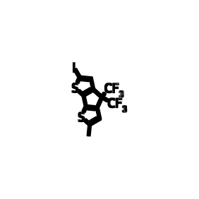 Cc1cc2c(s1)-c1sc(I)cc1C2(C(F)(F)F)C(F)(F)F